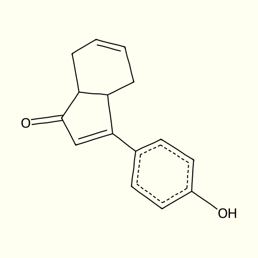 O=C1C=C(c2ccc(O)cc2)C2CC=CCC12